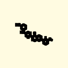 COc1cccc(-c2ccc3c(=O)n(-c4ncc(N[C@H]5CCC[C@@H](O)C5)cn4)ncc3c2)c1C